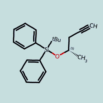 C#CC[C@H](C)O[Si](c1ccccc1)(c1ccccc1)C(C)(C)C